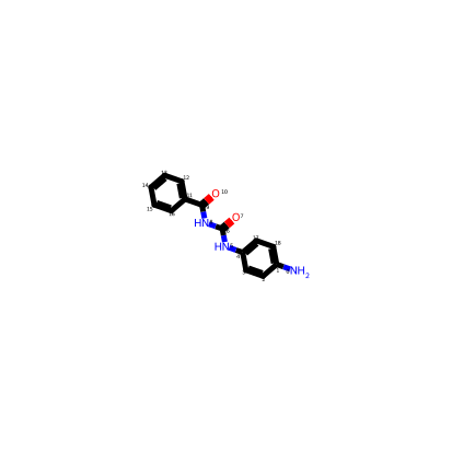 Nc1ccc(NC(=O)NC(=O)c2ccccc2)cc1